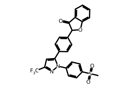 CS(=O)(=O)c1ccc(-n2nc(C(F)(F)F)cc2-c2ccc(C3Oc4ccccc4C3=O)cc2)cc1